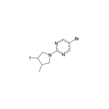 CC1CN(c2ncc(Br)cn2)CC1I